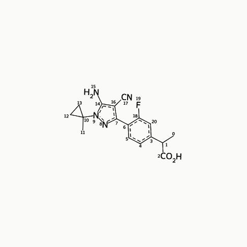 CC(C(=O)O)c1ccc(-c2nn(C3(C)CC3)c(N)c2C#N)c(F)c1